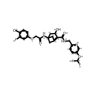 O=C(COc1ccc(Cl)c(F)c1)NC12CC(=C(C(=O)NCc3ccc(OC(F)F)cn3)C(O)C1)C2